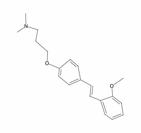 COc1ccccc1/C=C/c1ccc(OCCCN(C)C)cc1